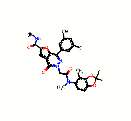 Cc1c(N(C)C(=O)Cn2nc(-c3cc(F)cc(C#N)c3)c3oc(C(=O)NC(C)(C)C)cc3c2=O)ccc2c1OC(F)(F)O2